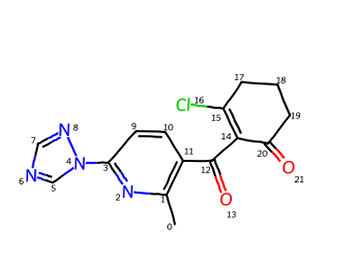 Cc1nc(-n2cncn2)ccc1C(=O)C1=C(Cl)CCCC1=O